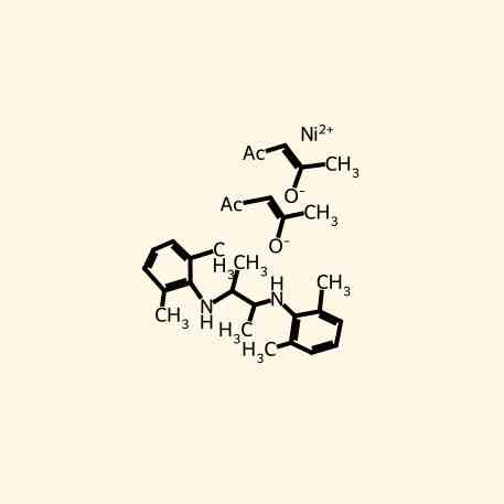 CC(=O)/C=C(/C)[O-].CC(=O)/C=C(/C)[O-].Cc1cccc(C)c1NC(C)C(C)Nc1c(C)cccc1C.[Ni+2]